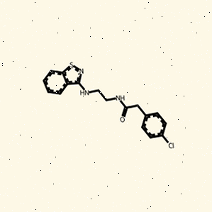 O=C(Cc1ccc(Cl)cc1)NCCNc1nsc2ccccc12